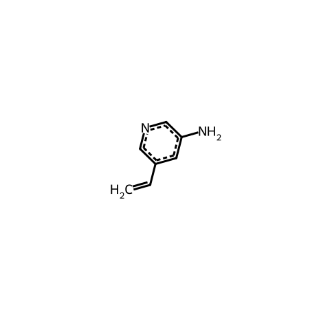 C=Cc1cncc(N)c1